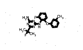 Cc1cccc(Oc2cccc(F)c2Nc2nc(N)nc(C(C)(C)F)n2)c1